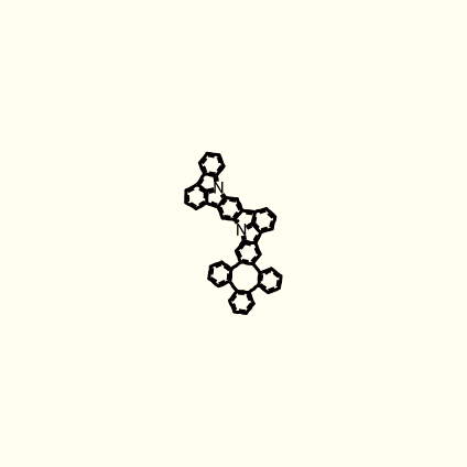 c1ccc2c(c1)-c1ccccc1-c1cc3c4cccc5c6cc7c(cc6n(c3cc1-c1ccccc1-2)c45)c1cccc2c3ccccc3n7c21